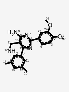 COc1ccc(-c2nc(N)c(CN)c(-c3cc(C)cc(C)c3)n2)cc1OC